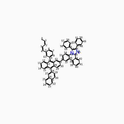 C/C=C\C=C/c1cccc(-c2c3ccccc3c(-c3ccc4ccccc4c3)c3ccc(-c4ccc5c(c4)c4ccccc4c4nc(-c6ccccc6)c(-c6ccccc6)n54)cc23)c1